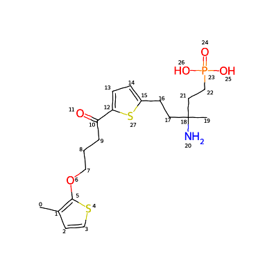 Cc1ccsc1OCCCC(=O)c1ccc(CCC(C)(N)CCP(=O)(O)O)s1